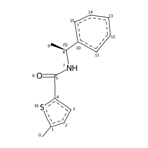 Cc1ccc(C(=O)N[C@@H](C)c2ccccc2)s1